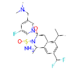 CC(C)c1cc(C(F)F)cc(C(C)C)c1CC(=O)N=S(N)(=O)c1ncc(CN(C)C)cc1F